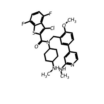 CNc1cc(-c2ccc(OC)c(CN(C(=O)c3sc4c(F)ccc(F)c4c3Cl)C3CCC(NC)CC3)c2)ccn1